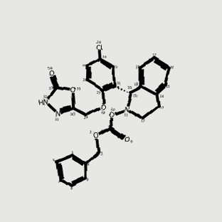 O=C(OCc1ccccc1)ON1CCc2ccccc2[C@H]1c1cc(Cl)ccc1OCc1n[nH]c(=O)o1